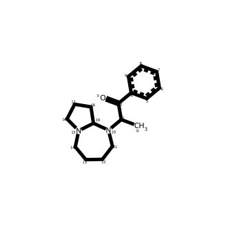 CC(C(=O)c1ccccc1)N1CCCCN2CCCC21